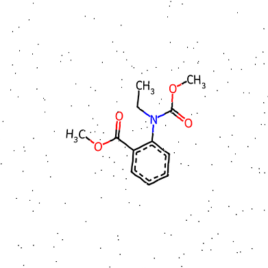 CCN(C(=O)OC)c1ccccc1C(=O)OC